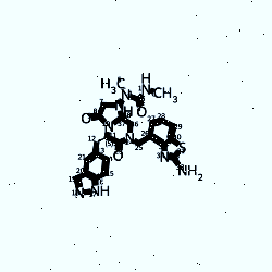 CNC(=O)N(C)N1CC(=O)N2[C@@H](Cc3ccc4[nH]ncc4c3)C(=O)N(Cc3cccc4sc(N)nc34)C[C@@H]21